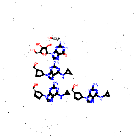 Nc1nc(NC2CC2)c2ncn([C@H]3C=C[C@@H](CO)C3)c2n1.Nc1nc(NC2CC2)c2ncn([C@H]3C=C[C@@H](CO)C3)c2n1.Nc1nc(NC2CC2)c2ncn([C@H]3C=C[C@@H](CO)C3)c2n1.Nc1nc2c(ncn2[C@@H]2O[C@H](CO)[C@@H](O)[C@H]2O)c(=O)[nH]1.O=S(=O)(O)O